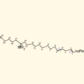 CCCCC/C=C/C/C=C/CCCCCCCCCC(N)CCCCC(C)C